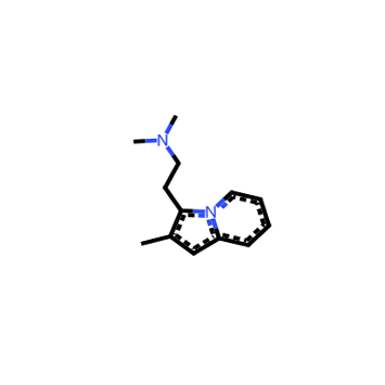 Cc1cc2ccccn2c1CCN(C)C